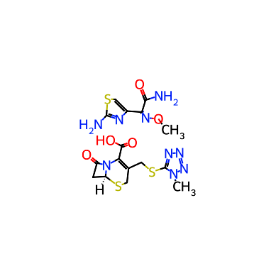 CO/N=C(\C(N)=O)c1csc(N)n1.Cn1nnnc1SCC1=C(C(=O)O)N2C(=O)C[C@@H]2SC1